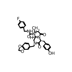 CN1CC(=O)N2[C@@H](Cc3ccc(O)cc3)C(=O)N(Cc3ccc4c(c3)OCO4)C[C@@H]2N1C(=O)NCc1ccc(F)cc1